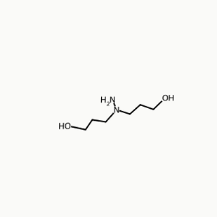 NN(CCCO)CCCO